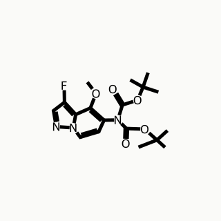 COc1c(N(C(=O)OC(C)(C)C)C(=O)OC(C)(C)C)ccn2ncc(F)c12